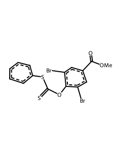 COC(=O)c1cc(Br)c(OC(=S)Sc2ccccc2)c(Br)c1